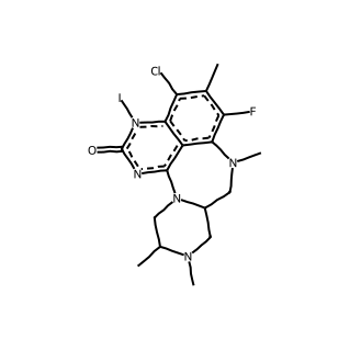 Cc1c(F)c2c3c(nc(=O)n(I)c3c1Cl)N1CC(C)N(C)CC1CN2C